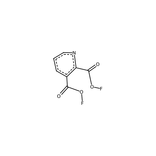 O=C(OF)c1cccnc1C(=O)OF